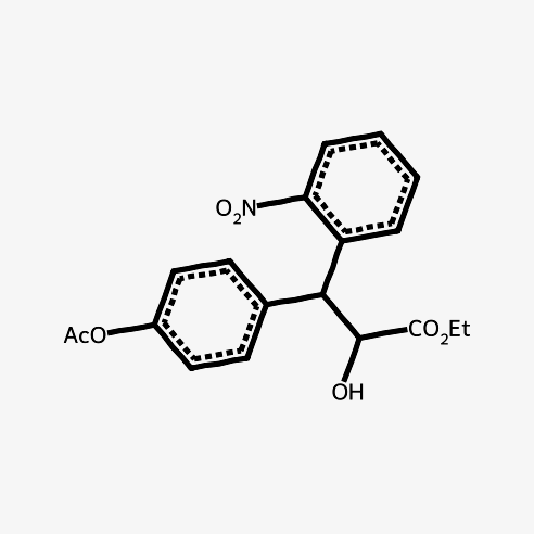 CCOC(=O)C(O)C(c1ccc(OC(C)=O)cc1)c1ccccc1[N+](=O)[O-]